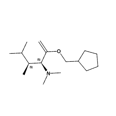 C=C(OCC1CCCC1)[C@H]([C@@H](C)C(C)C)N(C)C